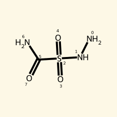 NNS(=O)(=O)C(N)=O